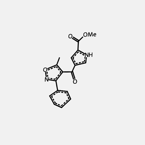 COC(=O)c1cc(C(=O)c2c(-c3ccccc3)noc2C)c[nH]1